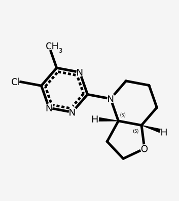 Cc1nc(N2CCC[C@@H]3OCC[C@@H]32)nnc1Cl